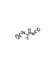 O=C=NNC(=S)N=C=O